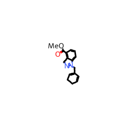 COC(=O)c1cccc2c1cnn2CC1=CCCC=C1